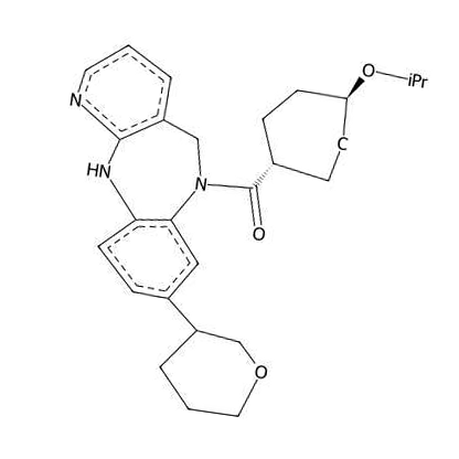 CC(C)O[C@H]1CC[C@H](C(=O)N2Cc3cccnc3Nc3ccc(C4CCCOC4)cc32)CC1